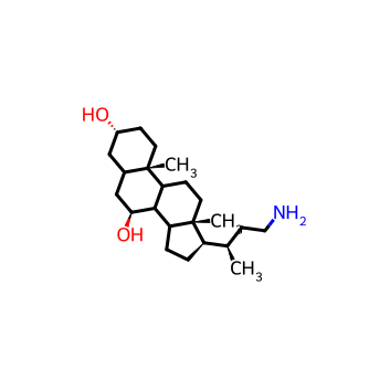 C[C@H](CCN)[C@H]1CCC2C3C(CC[C@@]21C)[C@@]1(C)CC[C@@H](O)CC1C[C@@H]3O